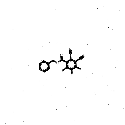 Cc1c(I)c(I)c(C(=O)OCc2ccccc2)c(C#N)c1C#N